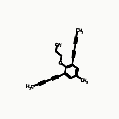 CC#CC#Cc1cc(C)cc(C#CC#CC)c1OCCO